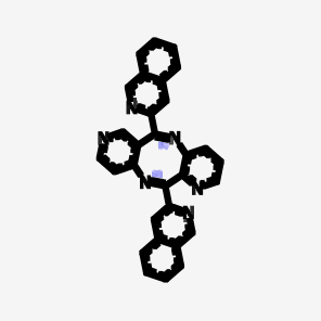 c1cnc2c(c1)/N=C(/c1cc3ccccc3cn1)c1cnccc1/N=C\2c1cc2ccccc2cn1